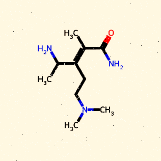 CC(C(N)=O)=C(CCN(C)C)C(C)N